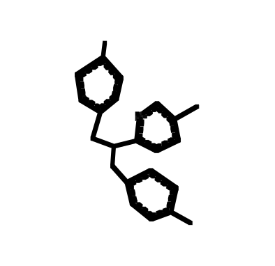 Cc1ccc(CC(Cc2ccc(C)cc2)c2ccc(C)cn2)cc1